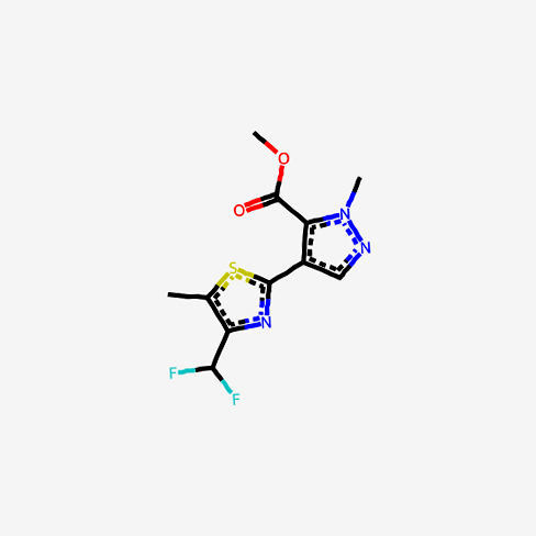 COC(=O)c1c(-c2nc(C(F)F)c(C)s2)cnn1C